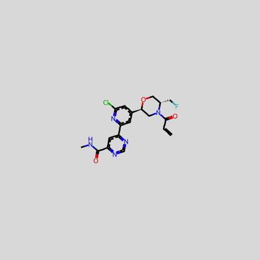 C=CC(=O)N1C[C@@H](c2cc(Cl)nc(-c3cc(C(=O)NC)ncn3)c2)OC[C@@H]1CF